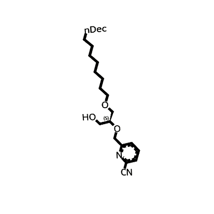 CCCCCCCCCCCCCCCCCCOC[C@H](CO)OCc1cccc(C#N)n1